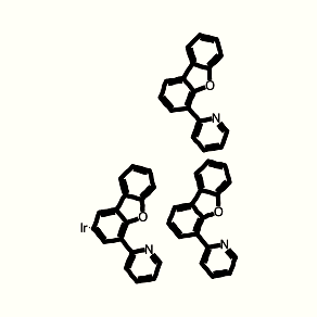 [Ir].c1ccc(-c2cccc3c2oc2ccccc23)nc1.c1ccc(-c2cccc3c2oc2ccccc23)nc1.c1ccc(-c2cccc3c2oc2ccccc23)nc1